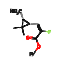 CC(C)OC(=O)/C(F)=C\[C@H]1[C@@H](C(=O)O)C1(C)C